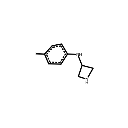 Ic1ccc(NC2CNC2)cc1